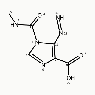 CNC(=O)n1cnc(C(=O)O)c1N=N